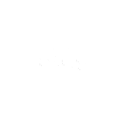 O=C(NCc1cnc(C(F)(F)F)nc1)c1cc(OC2CCOC2)cc(-c2ncc(C3CCC3)s2)c1